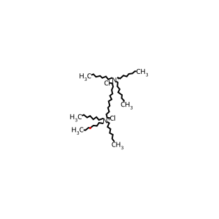 CCCCCCCC[N+](CCCCCCCC)(CCCCCCCC)C(Cl)CCCCCCCCCCC(Cl)[N+](CCCCCCCC)(CCCCCCCC)CCCCCCCC